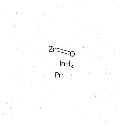 [InH3].[O]=[Zn].[Pr]